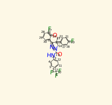 O=C(Nc1ccc(C(F)(F)F)cc1)N1CC2(c3ccc(F)cc3)COc3c(F)cccc3C2=N1